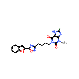 CCCCn1c(=O)n(CCCCc2noc(-c3cc4ccccc4o3)n2)c(=O)c2[nH]c(Cl)nc21